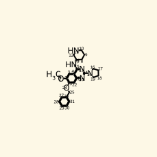 COc1cc2c(N[C@@H]3CCCNC3)nc(N3CCCC3)nc2cc1OCc1ccccc1